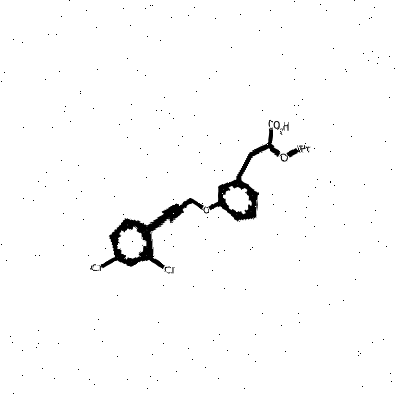 CC(C)OC(Cc1cccc(OCC#Cc2ccc(Cl)cc2Cl)c1)C(=O)O